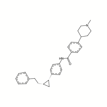 CN1CCC(c2ccc(C(=O)Nc3ccc([C@@H]4C[C@@H]4CCc4ccccc4)cc3)cc2)CC1